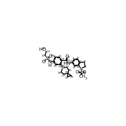 CS(=O)(=O)N1CCc2ccc(NC(=O)c3ccc(NS(=O)(=O)CCO)cc3N3CCC4(CC3)CC4)cc21